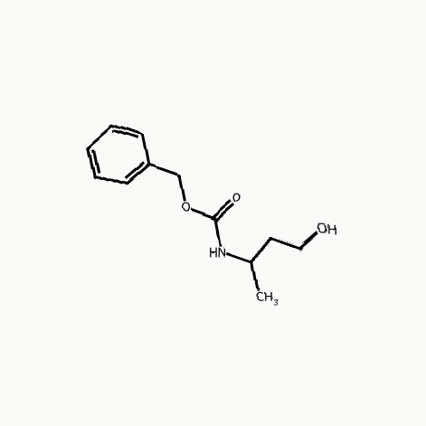 CC(CCO)NC(=O)OCc1ccccc1